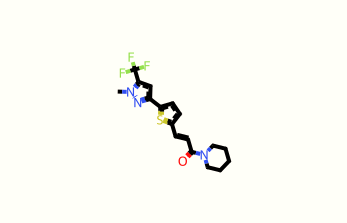 Cn1nc(-c2ccc(C=CC(=O)N3CCCCC3)s2)cc1C(F)(F)F